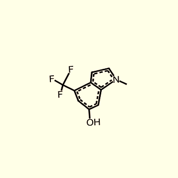 Cn1ccc2c(C(F)(F)F)cc(O)cc21